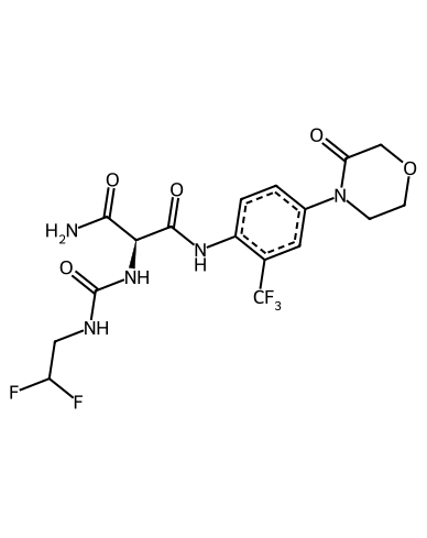 NC(=O)[C@H](NC(=O)NCC(F)F)C(=O)Nc1ccc(N2CCOCC2=O)cc1C(F)(F)F